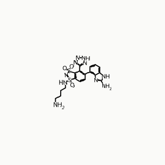 NCCCCNS1(=O)=NS(=O)(=O)c2c1ccc(-c1cccc3[nH]c(N)nc13)c2-c1nn[nH]n1